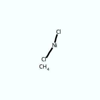 C.[Cl][Ni][Cl]